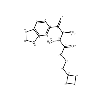 C[C@H](C(=O)c1ccc2c(c1)OCO2)N(C)C(=O)OCCN1CCC1